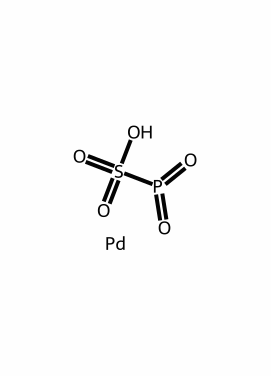 O=P(=O)S(=O)(=O)O.[Pd]